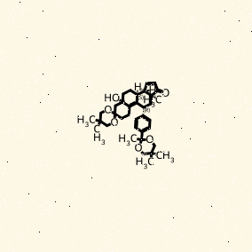 CC1(C)COC2(CCC3=C4[C@@H](CC[C@@]3(O)C2)[C@@H]2C=CC(=O)[C@@]2(C)C[C@@H]4c2ccc(C3(C)OCC(C)(C)CO3)cc2)OC1